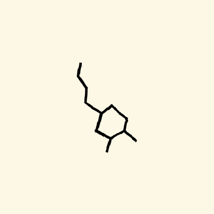 CCCCC1CCC(C)C(C)C1